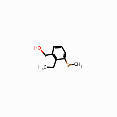 CCc1c([CH]O)cccc1SC